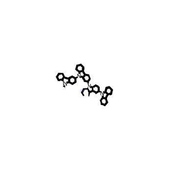 C/C=C\c1c(C)c2cc(-n3c4ccccc4c4ccccc43)ccc2n1-c1ccc2c3ccccc3n(-c3ccc4c(c3)c3ccccc3n4C)c2c1